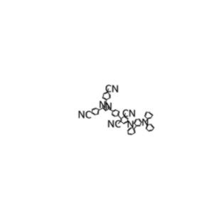 N#Cc1ccc(-c2cc(-c3ccc(-c4c(C#N)cc(-n5c6ccccc6c6cc(N(c7ccccc7)c7ccccc7)ccc65)cc4C#N)cc3)nc(-c3ccc(C#N)cc3)n2)cc1